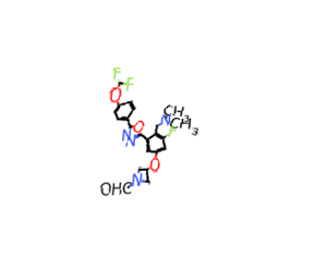 CN(C)Cc1c(F)cc(OC2CN(C=O)C2)cc1-c1nnc(-c2ccc(OC(F)F)cc2)o1